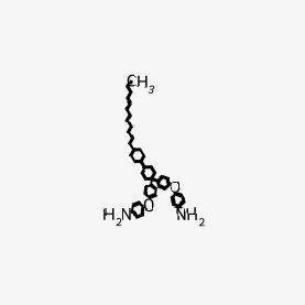 CCCCCCCCCCCCC1CCC(C2CCC(c3ccc(Oc4ccc(N)cc4)cc3)(c3ccc(Oc4ccc(N)cc4)cc3)CC2)CC1